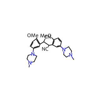 COc1ccc(N2CCN(C)CC2)cc1C(C#N)C(C#N)c1cc(N2CCN(C)CC2)ccc1OC